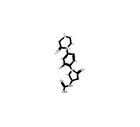 O=C(O)NC1CC(=O)N(c2ccc(N3CCOCC3=O)cc2F)C1